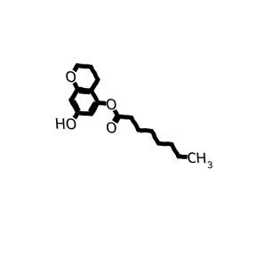 CCCCCCCC(=O)Oc1cc(O)cc2c1CCCO2